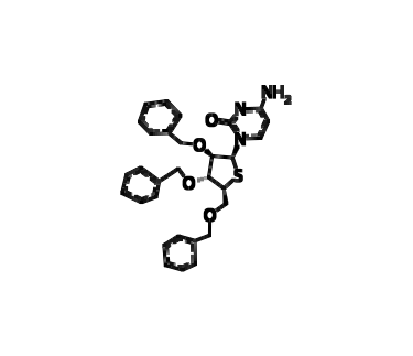 Nc1ccn([C@H]2S[C@@H](COCc3ccccc3)[C@H](OCc3ccccc3)[C@H]2OCc2ccccc2)c(=O)n1